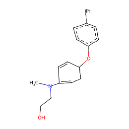 CC(C)c1ccc(OC2C=CC(N(C)CCO)=CC2)cc1